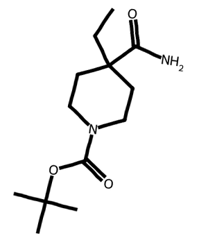 CCC1(C(N)=O)CCN(C(=O)OC(C)(C)C)CC1